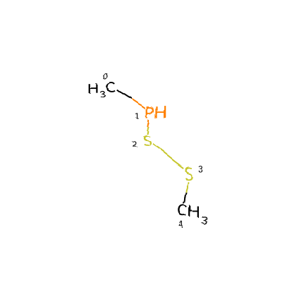 CPSSC